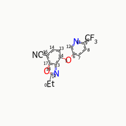 CCc1nc2c(Oc3ccc(C(F)(F)F)nc3)ccc(C#N)c2o1